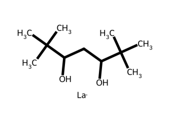 CC(C)(C)C(O)CC(O)C(C)(C)C.[La]